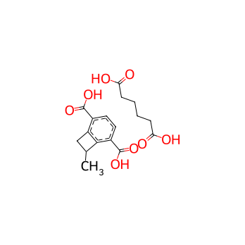 CC1Cc2c(C(=O)O)ccc(C(=O)O)c21.O=C(O)CCCCC(=O)O